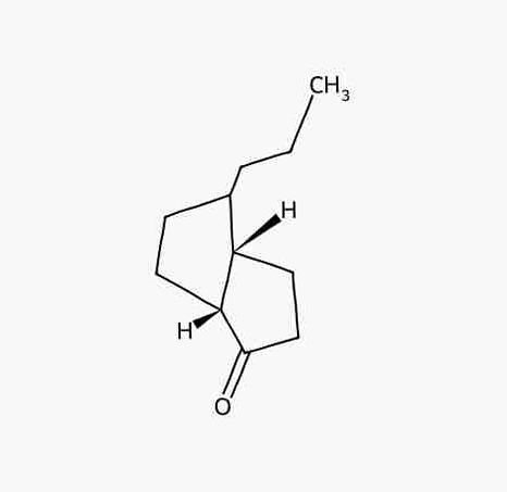 CCCC1CC[C@H]2C(=O)CC[C@@H]12